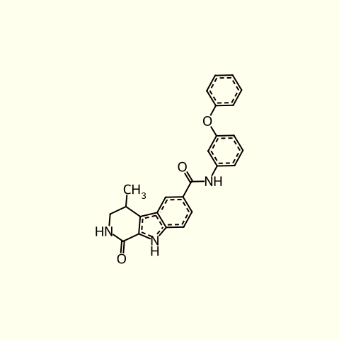 CC1CNC(=O)c2[nH]c3ccc(C(=O)Nc4cccc(Oc5ccccc5)c4)cc3c21